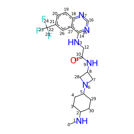 CNC1CCC(N2CC(NC(=O)CNc3ncnc4ccc(C(F)(F)F)cc34)C2)CC1